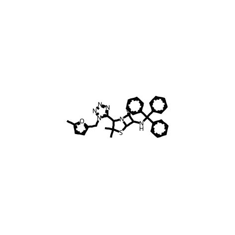 Cc1ccc(Cn2nnnc2C2N3C(=O)C(NC(c4ccccc4)(c4ccccc4)c4ccccc4)C3SC2(C)C)o1